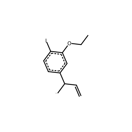 [CH2]C(C=C)c1ccc(I)c(OCC)c1